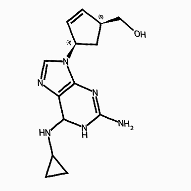 NC1=Nc2c(ncn2[C@H]2C=C[C@@H](CO)C2)C(NC2CC2)N1